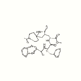 COC(=O)C(CC1CC2(CCN(C(C)=O)CC2)NC1=O)NC(=O)[C@H](Cc1ccccc1)NC(=O)c1cnc2ccccc2n1